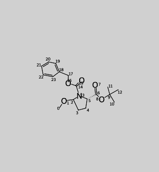 COC1CC[C@@H](C(=O)OC(C)(C)C)N1C(=O)OCc1ccccc1